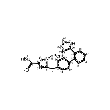 CCCCCn1nc(C(=O)CCCC)nc1Cc1ccc(-c2ccccc2-c2nnn[nH]2)cc1